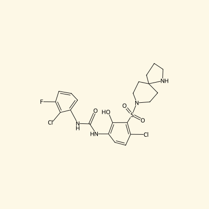 O=C(Nc1ccc(Cl)c(S(=O)(=O)N2CCC3(CCCN3)CC2)c1O)Nc1cccc(F)c1Cl